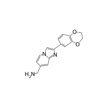 NCc1ccn2cc(-c3ccc4c(c3)OCCO4)nc2c1